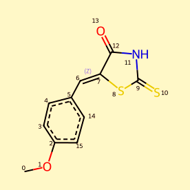 COc1ccc(/C=C2\SC(=S)NC2=O)cc1